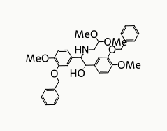 COc1ccc([C@@H](NCC(OC)OC)[C@@H](O)c2ccc(OC)c(OCc3ccccc3)c2)cc1OCc1ccccc1